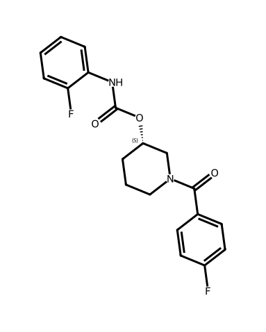 O=C(Nc1ccccc1F)O[C@H]1CCCN(C(=O)c2ccc(F)cc2)C1